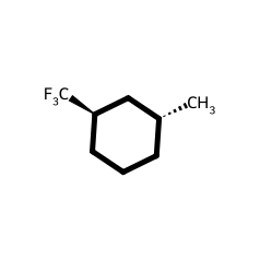 C[C@@H]1CCC[C@@H](C(F)(F)F)C1